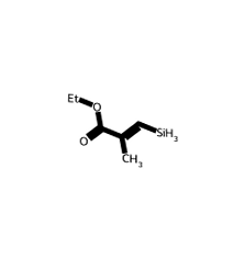 CCOC(=O)C(C)=C[SiH3]